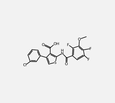 COc1c(F)c(F)cc(C(=O)Nc2scc(-c3cccc(Cl)c3)c2C(=O)O)c1F